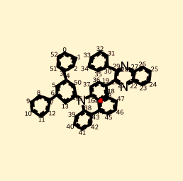 c1ccc(-c2cc(-c3ccccc3)cc(N(c3ccc(-c4nc5ccccc5nc4-c4ccccc4)cc3)c3ccccc3-c3ccccc3)c2)cc1